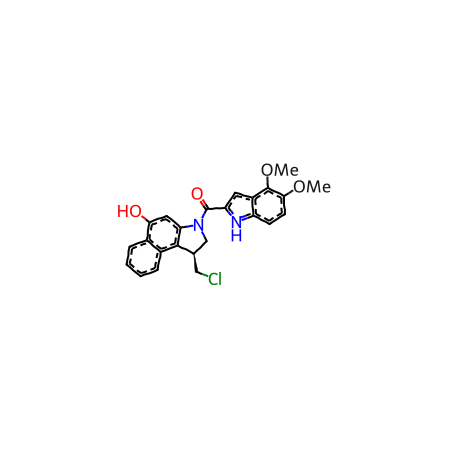 COc1ccc2[nH]c(C(=O)N3C[C@@H](CCl)c4c3cc(O)c3ccccc43)cc2c1OC